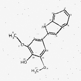 COc1cc(-c2cc3ccccc3[nH]2)cc(OC)c1O